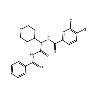 N=C(NC(=O)C(NC(=O)c1ccc(Cl)c(Cl)c1)C1CCOCC1)c1ccccc1